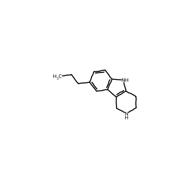 CCCc1ccc2[nH]c3c(c2c1)CNCC3